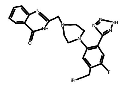 CC(C)Cc1cc(N2CCN(Cc3nc4ccccc4c(=O)[nH]3)CC2)c(-c2nn[nH]n2)cc1F